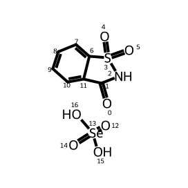 O=C1NS(=O)(=O)c2ccccc21.O=[Se](=O)(O)O